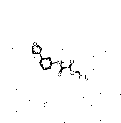 CCOC(=O)C(=O)Nc1cccc(-c2ccoc2)c1